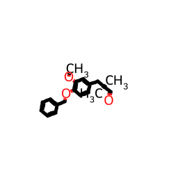 COc1cc(CC(C)(C)C=O)ccc1OCc1ccccc1